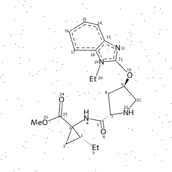 CC[C@@H]1CC1(NC(=O)[C@@H]1C[C@@H](Oc2nc3ccccc3n2CC)CN1)C(=O)OC